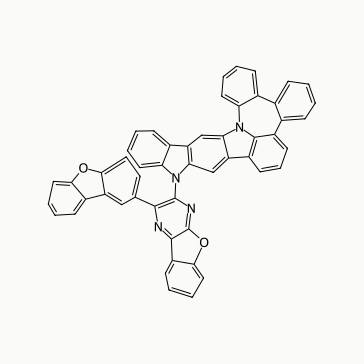 c1ccc2c(c1)-c1ccccc1-n1c3cc4c5ccccc5n(-c5nc6oc7ccccc7c6nc5-c5ccc6oc7ccccc7c6c5)c4cc3c3cccc-2c31